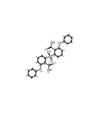 O=C(O)c1c(Oc2ccccc2)cccc1S(=O)(=O)c1cccc(Oc2ccccc2)c1C(=O)O